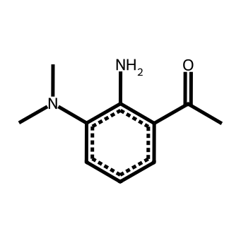 CC(=O)c1cccc(N(C)C)c1N